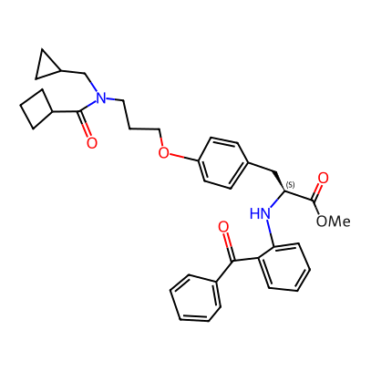 COC(=O)[C@H](Cc1ccc(OCCCN(CC2CC2)C(=O)C2CCC2)cc1)Nc1ccccc1C(=O)c1ccccc1